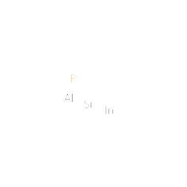 [Al].[In+3].[P-3].[Si]